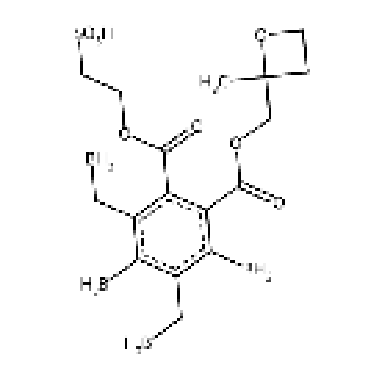 BCc1c(B)c(CB)c(C(=O)OCCS(=O)(=O)O)c(C(=O)OCC2(C)CCO2)c1B